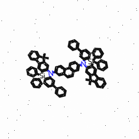 CC1(C)c2ccccc2-c2cc3c(cc21)N(c1ccc2c(ccc4cc(N5c6cc(-c7ccccc7)ccc6[Si](c6ccccc6)(c6ccccc6)c6cc7c(cc65)C(C)(C)c5ccccc5-7)ccc42)c1)c1cc(-c2ccccc2)ccc1[Si]3(c1ccccc1)c1ccccc1